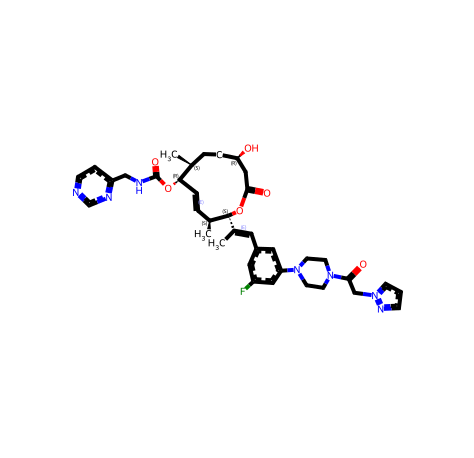 C/C(=C\c1cc(F)cc(N2CCN(C(=O)Cn3cccn3)CC2)c1)[C@H]1OC(=O)C[C@H](O)CC[C@H](C)[C@@H](OC(=O)NCc2ccncn2)/C=C/[C@@H]1C